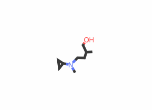 CC(CO)CCN(C)C1CC1